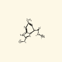 Cc1cc(C(=O)OC(C)(C)C)c2nc(CCl)[nH]c2c1